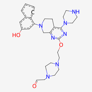 O=CCN1CCN(CCOc2nc3c(c(N4CCNCC4)n2)CCN(c2cc(O)cc4ccccc24)C3)CC1